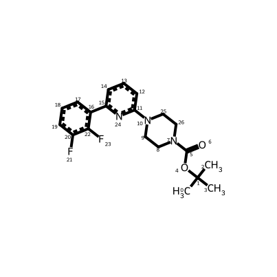 CC(C)(C)OC(=O)N1CCN(c2cccc(-c3cccc(F)c3F)n2)CC1